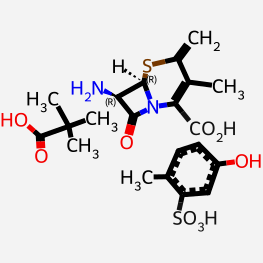 C=C1S[C@@H]2[C@H](N)C(=O)N2C(C(=O)O)=C1C.CC(C)(C)C(=O)O.Cc1ccc(O)cc1S(=O)(=O)O